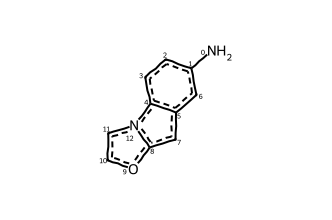 Nc1ccc2c(c1)cc1occn12